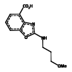 COCCCNc1nc2c(C(=O)O)cccc2o1